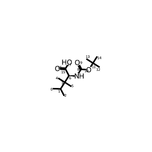 CC(C)C(C)(C)[C@H](NC(=O)OC(C)(C)C)C(=O)O